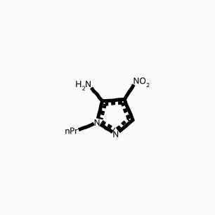 CCCn1ncc([N+](=O)[O-])c1N